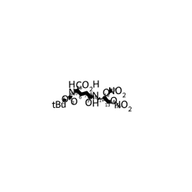 CC(C)(C)OC(=O)N[C@@H](CCC(=O)NC[C@@H](CO[N+](=O)[O-])O[N+](=O)[O-])C(=O)O